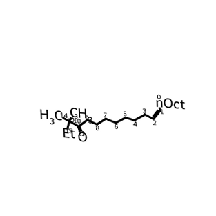 CCCCCCCC/C=C\CCCCCCCC(=O)C(C)(C)CC